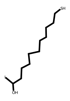 OC(I)CCCCCCCCCCS